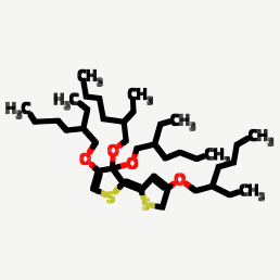 CCCCC(CC)COC1=CC(=C2SC=C(OCC(CC)CCCC)C2(OCC(CC)CCCC)OCC(CC)CCCC)SC1